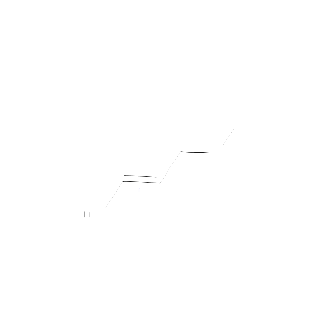 C[CH]OC/C=C/CCC